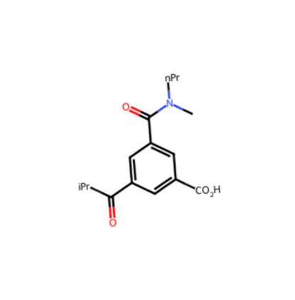 CCCN(C)C(=O)c1cc(C(=O)O)cc(C(=O)C(C)C)c1